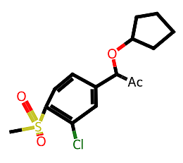 CC(=O)C(OC1CCCC1)c1ccc(S(C)(=O)=O)c(Cl)c1